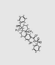 CC(C)c1cc2c(cc1C(=O)OS(=O)(=O)c1ccccc1)C1(C)CCCC(C)(C(=O)c3ccccc3)C1CC2